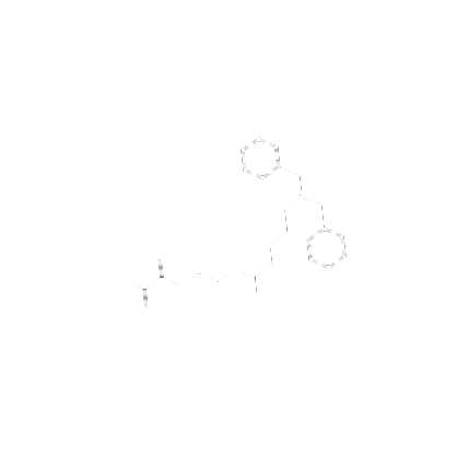 C=C(C)C(=O)OCCOC(C)COCCN(Cc1ccccc1)Cc1ccccc1